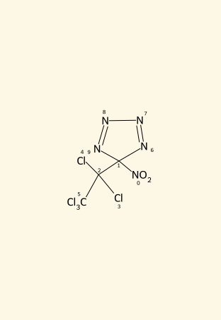 O=[N+]([O-])C1(C(Cl)(Cl)C(Cl)(Cl)Cl)N=NN=N1